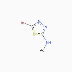 CC(=O)Nc1nnc(Br)s1